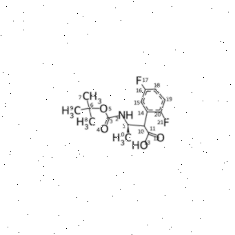 C[C@@H](NC(=O)OC(C)(C)C)C(C(=O)O)c1cc(F)ccc1F